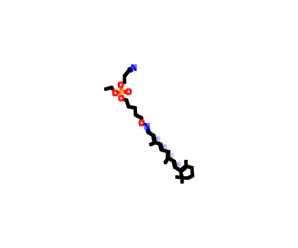 CCOP(=O)(OCCC#N)OCCCCCON=C/C=C(C)/C=C/C=C(C)/C=C/C1=C(C)CCCC1(C)C